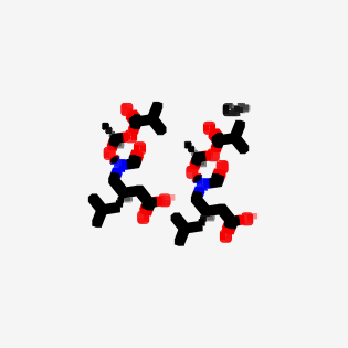 CC(C)C[C@@H](CC(=O)[O-])CN(C=O)O[C@H](C)OC(=O)C(C)C.CC(C)C[C@@H](CC(=O)[O-])CN(C=O)O[C@H](C)OC(=O)C(C)C.[Ca+2]